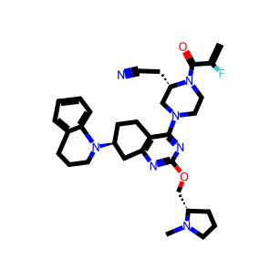 C=C(F)C(=O)N1CCN(c2nc(OC[C@@H]3CCCN3C)nc3c2CC[C@H](N2CCCc4ccccc42)C3)C[C@@H]1CC#N